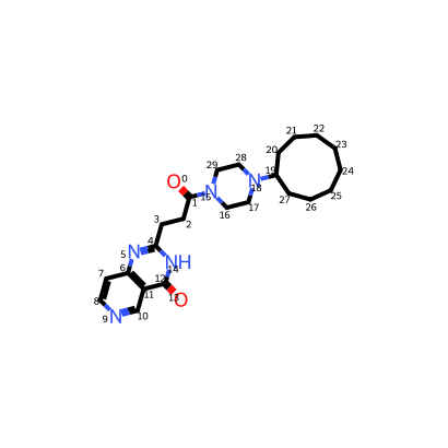 O=C(CCc1nc2ccncc2c(=O)[nH]1)N1CCN(C2CCCCCCCC2)CC1